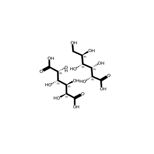 O=C(O)[C@@H](O)[C@H](O)[C@H](O)[C@@H](O)C(=O)O.O=C(O)[C@H](O)[C@@H](O)[C@H](O)[C@H](O)CO